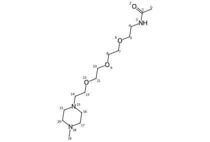 CC(=O)NCCOCCOCCOCCN1CCN(C)CC1